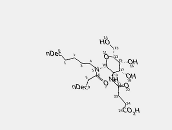 CCCCCCCCCCCCCCN(C(=O)CCCCCCCCCCC)[C@@H]1O[C@H](CO)[C@H](O)[C@H](O)[C@H]1NC(=O)CCC(=O)O